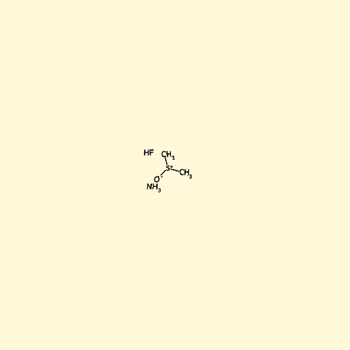 C[S+](C)[O-].F.N